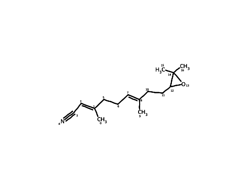 C/C(=C\C#N)CC/C=C(\C)CCC1OC1(C)C